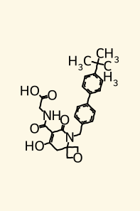 CC(C)(C)c1ccc(-c2ccc(CN3C(=O)C(C(=O)NCC(=O)O)=C(O)CC34COC4)cc2)cc1